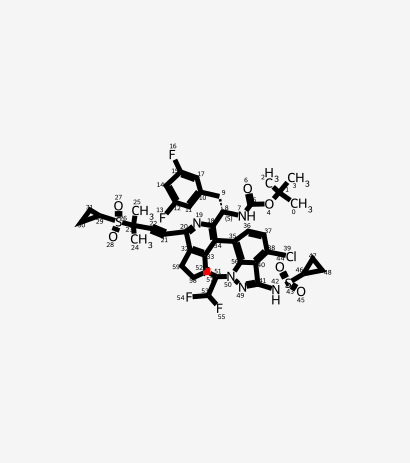 CC(C)(C)OC(=O)N[C@@H](Cc1cc(F)cc(F)c1)c1nc(C#CC(C)(C)S(=O)(=O)C2CC2)c2c(c1-c1ccc(Cl)c3c(NS(=O)(=O)C4CC4)nn(C(F)C(F)F)c13)CCC2